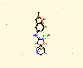 Cc1cc2cc(NC3=NO[C@@]4(C3)CN3CCC4CC3)ccc2o1.Cl